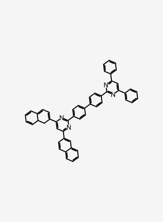 C1=CC2=CC=C(c3cc(-c4ccc5ccccc5c4)nc(-c4ccc(-c5ccc(-c6nc(-c7ccccc7)cc(-c7ccccc7)n6)cc5)cc4)n3)CC2C=C1